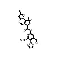 COc1nc(NC(=O)C2CC(C)(C)c3c2cnc2cc(Cl)nn32)cc(CO)c1-n1nccn1